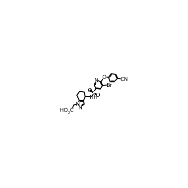 N#Cc1ccc(Oc2ncc(S(=O)(=O)NC3CCCc4c3cnn4CC(=O)O)cc2Br)cc1